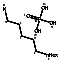 CCCCCCCCCC[CH2][K].O=P(O)(O)O